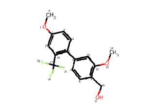 COc1ccc(-c2ccc(CO)c(OC)c2)c(C(F)(F)F)c1